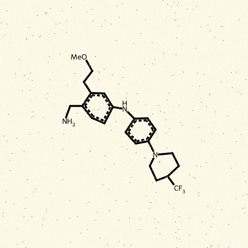 COCCc1cc(Nc2ccc(N3CCC(C(F)(F)F)CC3)cc2)ccc1CN